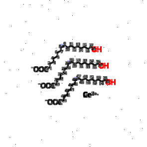 O=C([O-])CCCCCCC/C=C\CCCCCCCCO.O=C([O-])CCCCCCC/C=C\CCCCCCCCO.O=C([O-])CCCCCCC/C=C\CCCCCCCCO.[Ce+3]